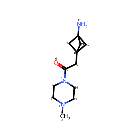 CN1CCN(C(=O)CC23CC(N)(C2)C3)CC1